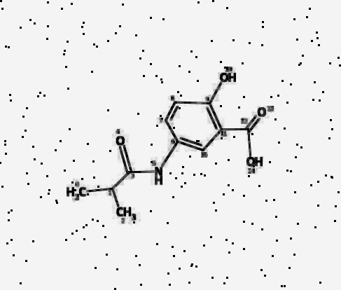 CC(C)C(=O)Nc1ccc(O)c(C(=O)O)c1